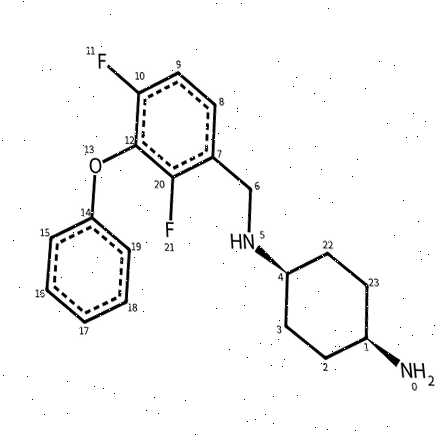 N[C@H]1CC[C@@H](NCc2ccc(F)c(Oc3ccccc3)c2F)CC1